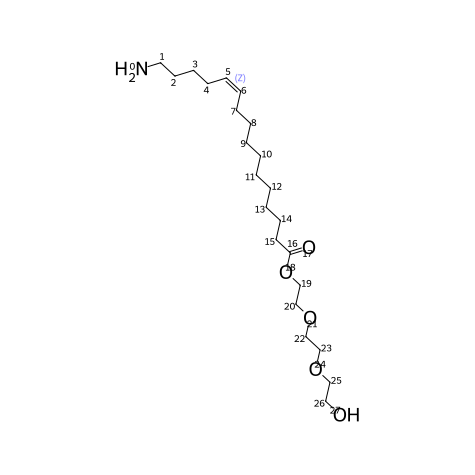 NCCCC/C=C\CCCCCCCCCC(=O)OCCOCCOCCO